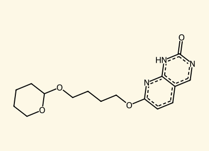 O=c1ncc2ccc(OCCCCOC3CCCCO3)nc2[nH]1